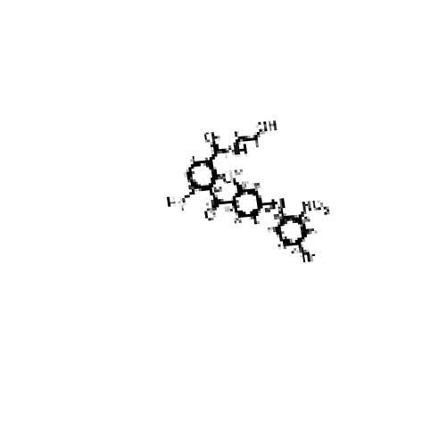 Cc1ccc(C(=O)NCCO)cc1C(=O)c1ccc(Nc2ccc(Br)cc2[N+](=O)[O-])cc1Cl